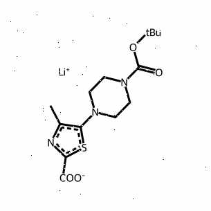 Cc1nc(C(=O)[O-])sc1N1CCN(C(=O)OC(C)(C)C)CC1.[Li+]